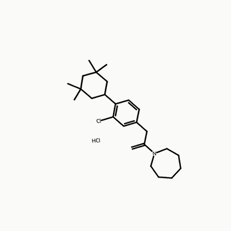 C=C(Cc1ccc(C2CC(C)(C)CC(C)(C)C2)c(Cl)c1)N1CCCCCC1.Cl